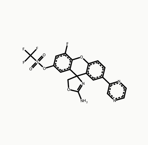 NC1=NC2(CO1)c1cc(-c3cnccn3)ccc1Oc1c(F)cc(OS(=O)(=O)C(F)(F)F)cc12